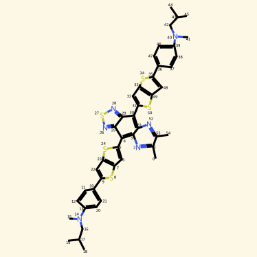 Cc1nc2c(-c3cc4sc(-c5ccc(N(C)CC(C)C)cc5)cc4s3)c3nsnc3c(-c3cc4sc(-c5ccc(N(C)CC(C)C)cc5)cc4s3)c2nc1C